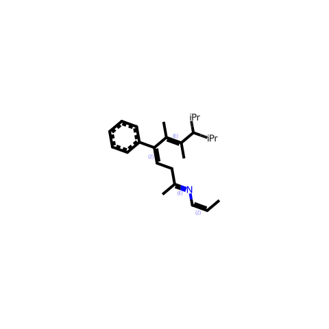 C/C=C\N=C(/C)C/C=C(\C(C)=C(/C)C(C(C)C)C(C)C)c1ccccc1